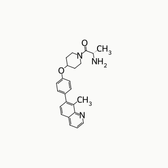 Cc1c(-c2ccc(OC3CCN(C(=O)[C@H](C)N)CC3)cc2)ccc2cccnc12